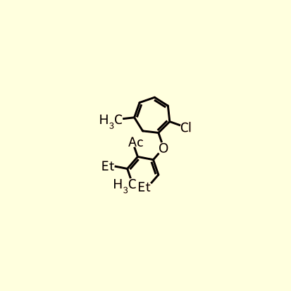 CC/C=C(OC1=C(Cl)C=CC=C(C)C1)\C(C(C)=O)=C(/C)CC